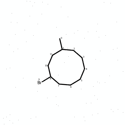 CC1CCCCCCC(Br)CC1